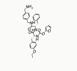 CCOc1ccc(C[C@@H](NC(=O)Oc2ccco2)C(=O)N[C@@H](Cc2ccccc2)C(=O)NCc2ccc(CN)cc2)cc1